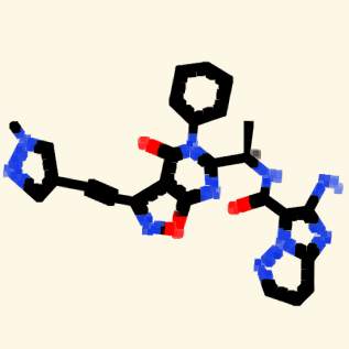 C[C@@H](NC(=O)c1c(N)nc2cccnn12)c1nc2onc(C#Cc3cnn(C)c3)c2c(=O)n1-c1ccccc1